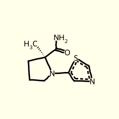 C[C@@]1(C(N)=O)CCCN1c1cncs1